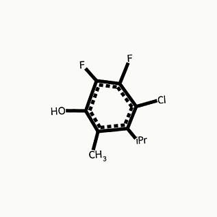 Cc1c(O)c(F)c(F)c(Cl)c1C(C)C